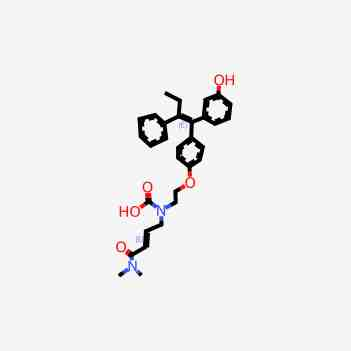 CC/C(=C(/c1ccc(OCCN(C/C=C/C(=O)N(C)C)C(=O)O)cc1)c1cccc(O)c1)c1ccccc1